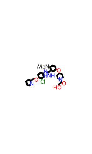 CNc1ccc(OC2CCN(C(=O)CO)CC2)cc1C(=N)Nc1ccc(OCc2ccccn2)c(Cl)c1